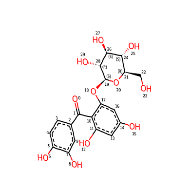 O=C(c1ccc(O)c(O)c1)c1c(O)cc(O)cc1O[C@@H]1O[C@H](CO)[C@@H](O)[C@H](O)[C@H]1O